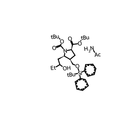 CC(N)=O.CCC(O)C[C@@H]1[C@H](CO[Si](c2ccccc2)(c2ccccc2)C(C)(C)C)C[C@H](C(=O)OC(C)(C)C)N1C(=O)OC(C)(C)C